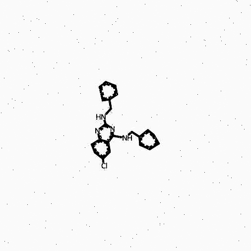 Clc1ccc2nc(NCc3ccccc3)nc(NCc3ccccc3)c2c1